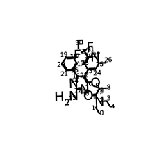 CCN(CC)C(=O)[C@H](C)Oc1nc(N)nc(-c2ccccc2)c1-c1cc(C)nc(C(F)(F)F)c1